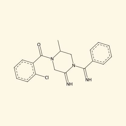 CC1CN(C(=N)c2ccccc2)C(=N)CN1C(=O)c1ccccc1Cl